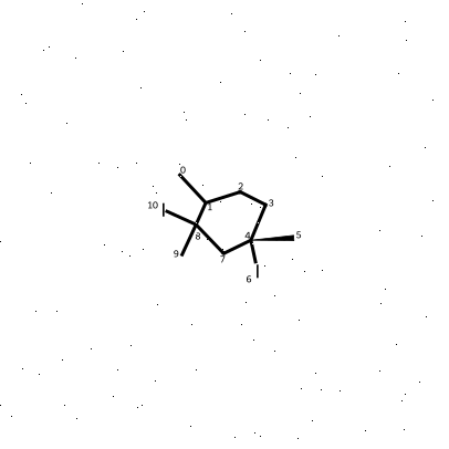 CC1CC[C@](C)(I)CC1(C)I